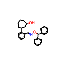 OC1CCCCC(c2ccccc2C=NOC(c2ccccc2)c2ccccc2)C1